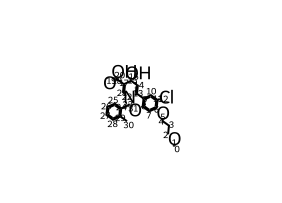 COCCCOc1cc2c(cc1Cl)C1=CC(O)C(C(=O)O)=CN1C(c1ccccc1C)O2